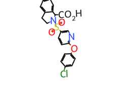 O=C(O)C1c2ccccc2CCN1S(=O)(=O)c1ccc(Oc2ccc(Cl)cc2)nc1